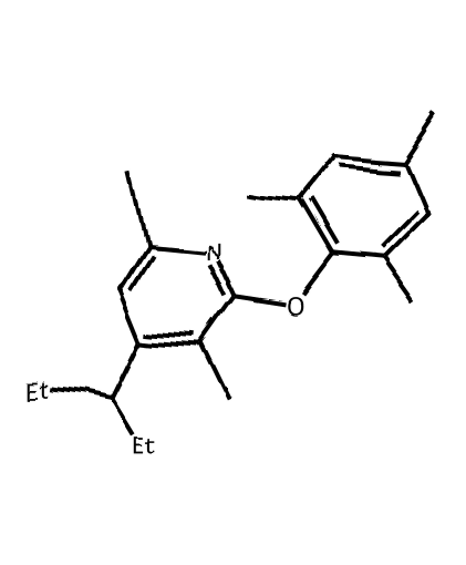 CCC(CC)c1cc(C)nc(Oc2c(C)cc(C)cc2C)c1C